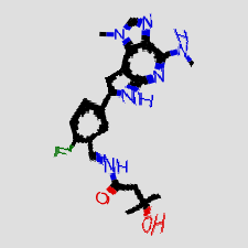 CNc1nc2[nH]c(-c3ccc(F)c(CNC(=O)CC(C)(C)O)c3)cc2c2c1ncn2C